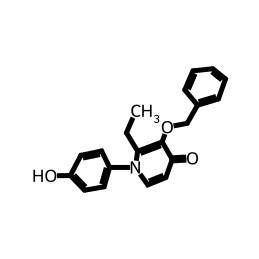 CCc1c(OCc2ccccc2)c(=O)ccn1-c1ccc(O)cc1